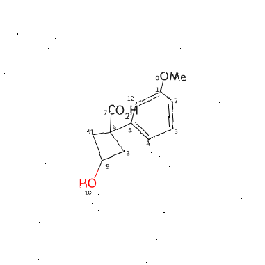 COc1cccc(C2(C(=O)O)CC(O)C2)c1